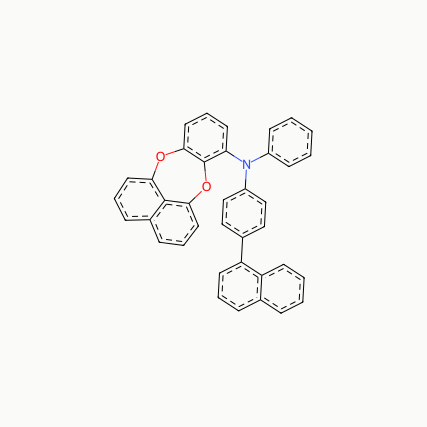 c1ccc(N(c2ccc(-c3cccc4ccccc34)cc2)c2cccc3c2Oc2cccc4cccc(c24)O3)cc1